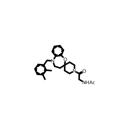 CC(=O)NCC(=O)N1CCC2(CC1)CCN(Cc1cccc(C)c1C)c1ccccc1O2